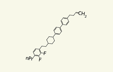 C=CCCc1ccc(-c2ccc(C3CCC(CCc4ccc(CCC)c(F)c4F)CC3)cc2)cc1